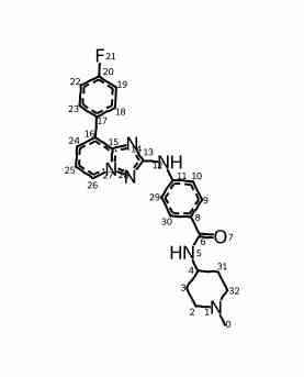 CN1CCC(NC(=O)c2ccc(Nc3nc4c(-c5ccc(F)cc5)cccn4n3)cc2)CC1